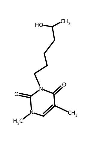 Cc1cn(C)c(=O)n(CCCCC(C)O)c1=O